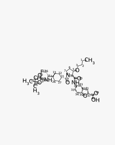 CCCCO[C@@H]1CCN(C(=O)[C@H]2CC[C@H]([C@@H](CF)NC(=O)OC(C)(C)C)CC2)[C@@H]1C(=O)Nc1ccc2oc(C(=O)O)cc2c1